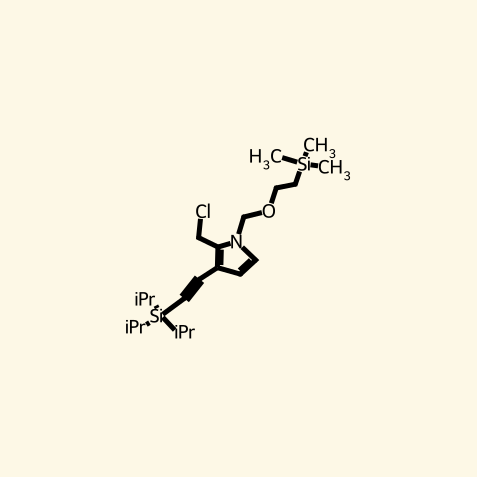 CC(C)[Si](C#Cc1ccn(COCC[Si](C)(C)C)c1CCl)(C(C)C)C(C)C